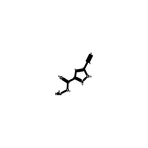 C#Cc1cc(C(=O)OCCCC)no1